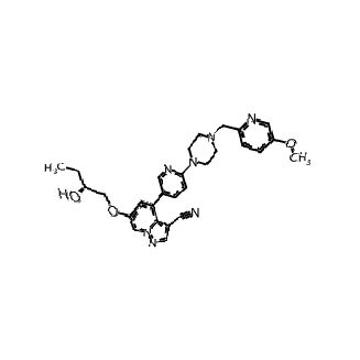 CC[C@H](O)COc1cc(-c2ccc(N3CCN(Cc4ccc(OC)cn4)CC3)nc2)c2c(C#N)cnn2c1